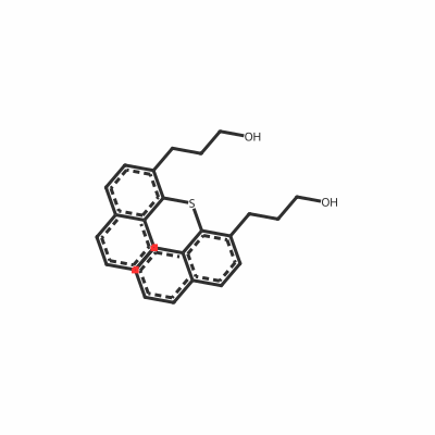 OCCCc1ccc2ccccc2c1Sc1c(CCCO)ccc2ccccc12